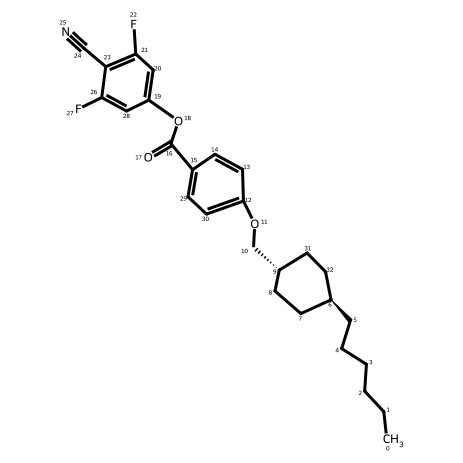 CCCCCC[C@H]1CC[C@H](COc2ccc(C(=O)Oc3cc(F)c(C#N)c(F)c3)cc2)CC1